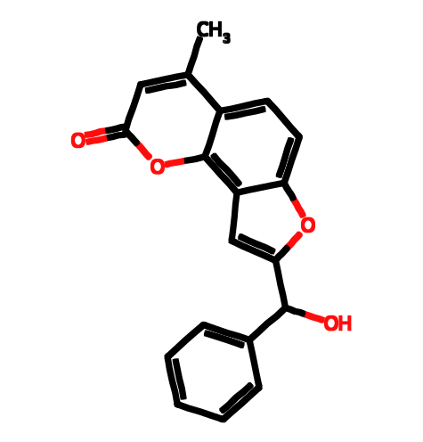 Cc1cc(=O)oc2c1ccc1oc(C(O)c3ccccc3)cc12